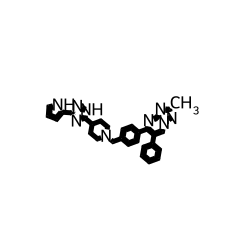 Cc1nc2nc(-c3ccc(CN4CCC(c5nc(-c6ccc[nH]6)n[nH]5)CC4)cc3)c(-c3ccccc3)cn2n1